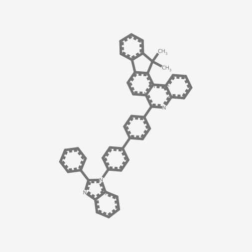 CC1(C)c2ccccc2-c2ccc3c(-c4ccc(-c5ccc(-n6c(-c7ccccc7)nc7ccccc76)cc5)cc4)nc4ccccc4c3c21